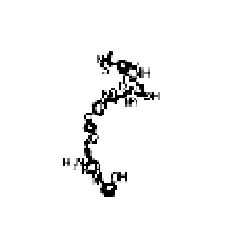 Cc1ncsc1-c1ccc([C@H](C)NC(=O)[C@@H]2C[C@@H](O)CN2C(=O)[C@H](c2cc(N3CCC(OC4CC(OCC#Cc5cn6cc(-c7ccccc7O)nc6nc5N)C4)CC3)no2)C(C)C)cc1